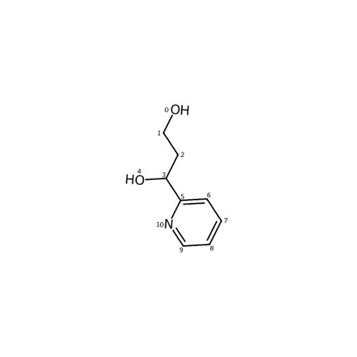 OCCC(O)c1ccccn1